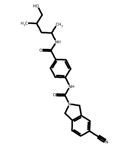 CC(CO)CC(C)NC(=O)c1ccc(NC(=O)N2Cc3ccc(C#N)cc3C2)cc1